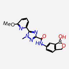 COc1cccc(-c2nc(C(=O)Nc3ccc4c(c3)B(O)OC4)nn2C)n1